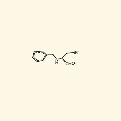 CC(C)C[C@@H]([C]=O)NCc1ccccc1